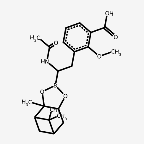 COc1c(CC(NC(C)=O)B2OC3CC4CC(C4(C)C)C3(C)O2)cccc1C(=O)O